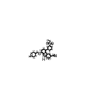 CCS(=O)(=O)c1cccc(-c2ccc(OCC3CCN(C)CC3)c3[nH]c4ncc(C#N)cc4c23)c1